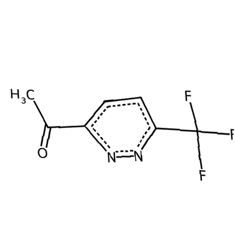 CC(=O)c1ccc(C(F)(F)F)nn1